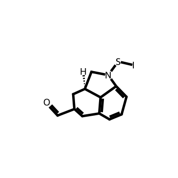 O=CC1=Cc2cccc3c2[C@@H](C1)CN3SI